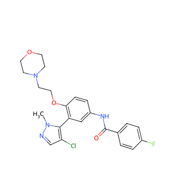 Cn1ncc(Cl)c1-c1cc(NC(=O)c2ccc(F)cc2)ccc1OCCN1CCOCC1